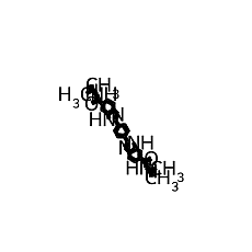 CN(C)NC(=O)c1ccc2nc(-c3ccc(-c4nc5ccc(C(=O)NN(C)C)cc5[nH]4)cc3)[nH]c2c1